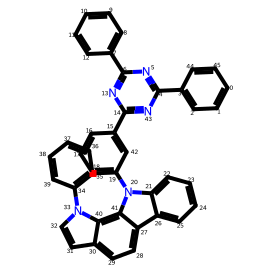 c1ccc(-c2nc(-c3ccccc3)nc(-c3cccc(-n4c5ccccc5c5ccc6ccn(-c7ccccc7)c6c54)c3)n2)cc1